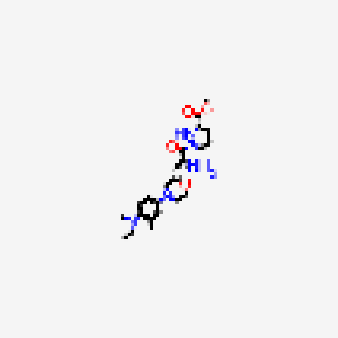 CCN(C)c1ccc(N2CCO[C@@H](C[C@H](N)C(=O)N3CCC[C@@H](C(=O)OC)N3)C2)cc1C